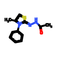 CC(=O)NN=c1scc(C)n1-c1ccccc1